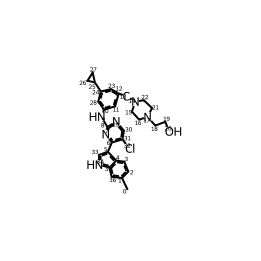 Cc1ccc2c(-c3nc(Nc4cc(CN5CCN(CCO)CC5)cc(C5CC5)c4)ncc3Cl)c[nH]c2c1